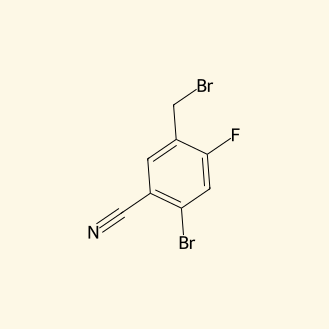 N#Cc1cc(CBr)c(F)cc1Br